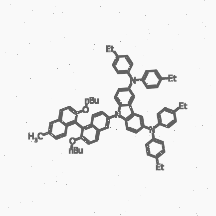 CCCCOc1ccc2cc(C)ccc2c1-c1c(OCCCC)ccc2cc(-n3c4ccc(N(c5ccc(CC)cc5)c5ccc(CC)cc5)cc4c4cc(N(c5ccc(CC)cc5)c5ccc(CC)cc5)ccc43)ccc12